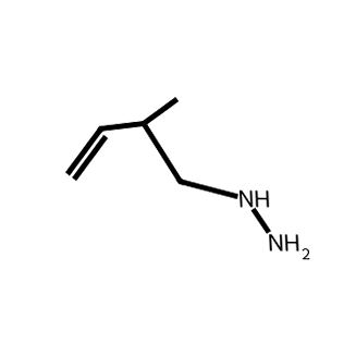 C=CC(C)CNN